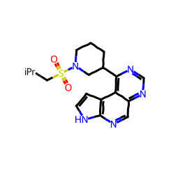 CC(C)CS(=O)(=O)N1CCCC(c2ncnc3cnc4[nH]ccc4c23)C1